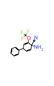 N#CC1(N)C=CC(c2ccccc2)C=C1OC(F)(F)F